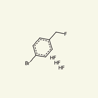 F.F.F.FCc1ccc(Br)cc1